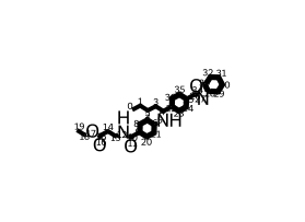 CCCCC(Nc1ccc(C(=O)NCCC(=O)OCC)cc1)c1ccc(-c2nc3ccccc3o2)cc1